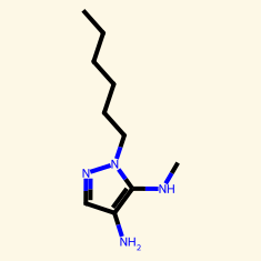 CCCCCCn1ncc(N)c1NC